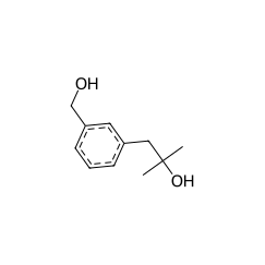 CC(C)(O)Cc1cccc(CO)c1